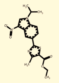 CCOC(=O)c1sc(-c2ccc3c(c2)c([N+](=O)[O-])cn3C(C)C)nc1C